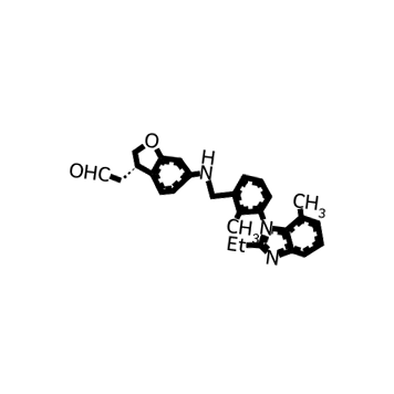 CCc1nc2cccc(C)c2n1-c1cccc(CNc2ccc3c(c2)OC[C@H]3CC=O)c1C